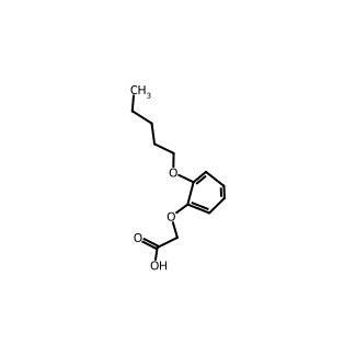 CCCCCOc1ccccc1OCC(=O)O